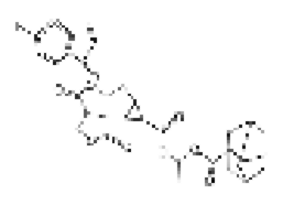 C=CCOC(=O)N1COC(=O)C12C(OCc1ccc(F)cc1)CC1C(C(=O)OC(C)OC(=O)C34CC5CC(CC(C5)C3)C4)C12